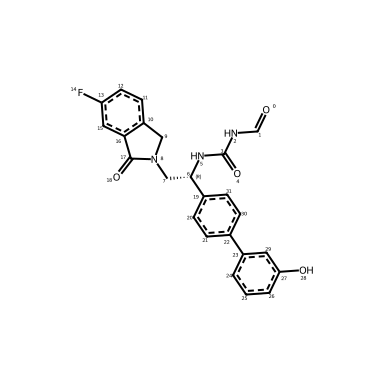 O=CNC(=O)N[C@@H](CN1Cc2ccc(F)cc2C1=O)c1ccc(-c2cccc(O)c2)cc1